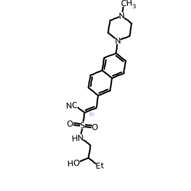 CCC(O)CNS(=O)(=O)/C(C#N)=C/c1ccc2cc(N3CCN(C)CC3)ccc2c1